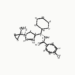 NC1(N2CC([C@@H](NC(=O)c3ccc(Cl)cc3)C3CCCCC3)N=N2)CC1